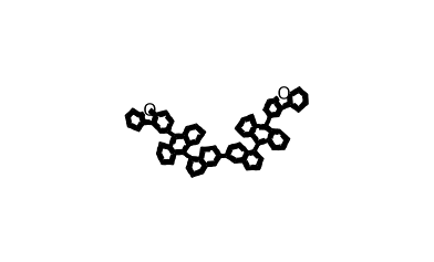 c1cc(-c2c3ccccc3c(-c3ccc4oc5ccccc5c4c3)c3ccccc23)c2ccc(-c3ccc4c(-c5c6ccccc6c(-c6ccc7oc8ccccc8c7c6)c6ccccc56)cccc4c3)cc2c1